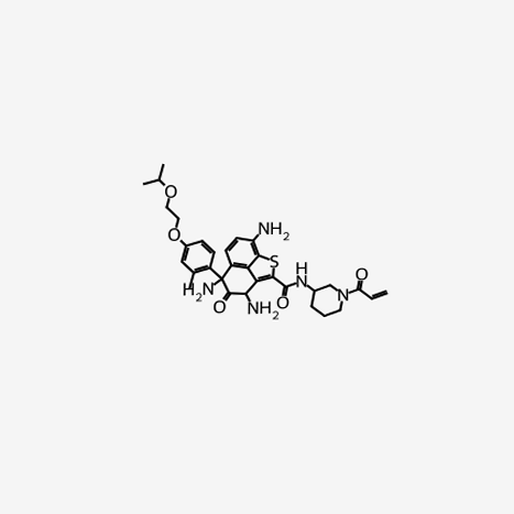 C=CC(=O)N1CCCC(NC(=O)c2sc3c(N)ccc4c3c2C(N)C(=O)C4(N)c2ccc(OCCOC(C)C)cc2C)C1